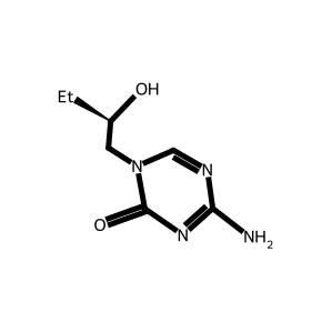 CC[C@@H](O)Cn1cnc(N)nc1=O